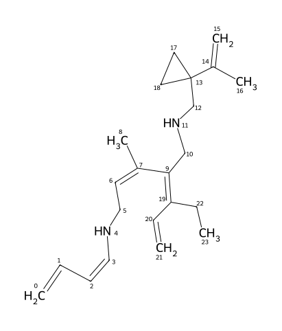 C=C/C=C\NC/C=C(C)\C(CNCC1(C(=C)C)CC1)=C(/C=C)CC